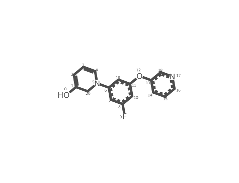 OC1=CC=CN(c2cc(F)cc(Oc3cccnc3)c2)C1